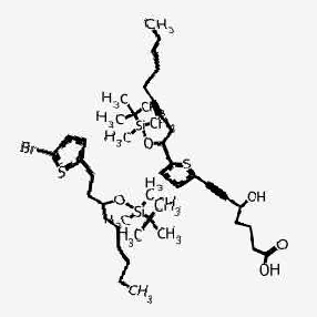 CCCCCC#CCC(O[Si](C)(C)C(C)(C)C)c1ccc(C#CC(O)CCCC(=O)O)s1.CCCCCCC(CCc1ccc(Br)s1)O[Si](C)(C)C(C)(C)C